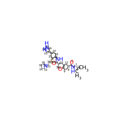 CC(C)CNC(=O)c1ccc2c(c1)CC(C(=O)Nc1ccc(-c3cn[nH]c3)cc1SCCN1CCCC1)CO2